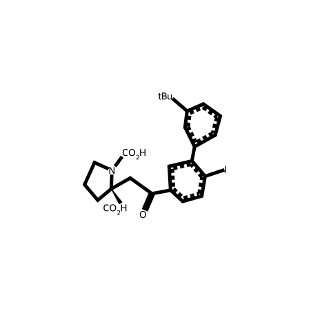 CC(C)(C)c1cccc(-c2cc(C(=O)C[C@]3(C(=O)O)CCCN3C(=O)O)ccc2I)c1